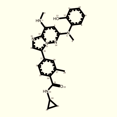 CNc1cc(N(C)c2ccccc2O)nn2c(-c3ccc(C(=O)NC4CC4)c(C)c3)cnc12